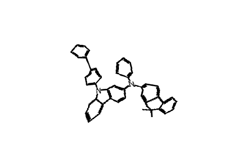 CC1(C)c2ccccc2-c2ccc(N(c3ccccc3)c3ccc4c(c3)N(c3ccc(-c5ccccc5)cc3)C3CC=CC=C43)cc21